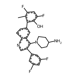 Cc1c(F)cc(F)c(O)c1-c1ccc2ncc(-c3cc(F)cc(F)c3)c(N3CCC(N)CC3)c2c1